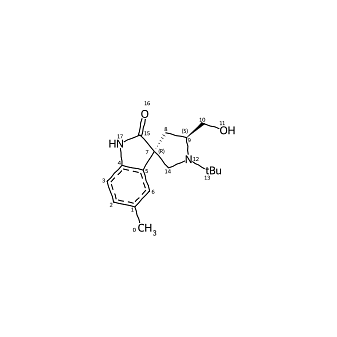 Cc1ccc2c(c1)[C@@]1(C[C@@H](CO)N(C(C)(C)C)C1)C(=O)N2